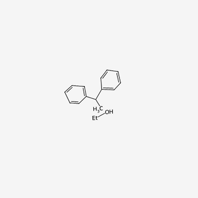 CC(c1ccccc1)c1ccccc1.CCO